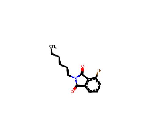 CCCCCCN1C(=O)c2cccc(Br)c2C1=O